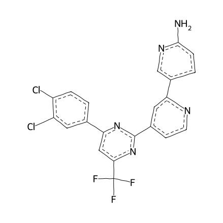 Nc1ccc(-c2cc(-c3nc(-c4ccc(Cl)c(Cl)c4)cc(C(F)(F)F)n3)ccn2)cn1